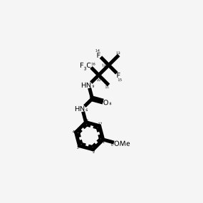 COc1cccc(NC(=O)NC(C)(C(C)(F)F)C(F)(F)F)c1